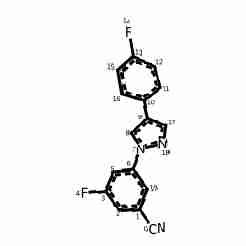 N#Cc1cc(F)cc(-n2cc(-c3ccc(F)cc3)cn2)c1